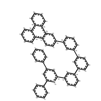 c1ccc(-c2cc(-c3ccccc3)nc(-c3cccc(-c4cccc(-c5cccc(-c6ccc7c8ccccc8c8ccccc8c7c6)c5)c4)c3)c2)cc1